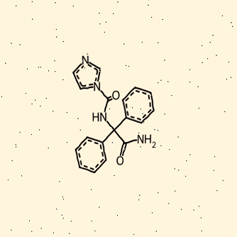 NC(=O)C(NC(=O)n1ccnc1)(c1ccccc1)c1ccccc1